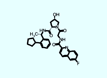 C[C@H](NC(=O)[C@@H]1C[C@@H](O)CN1C(=O)CNC(=O)c1ccc2cc(F)ccc2n1)c1ccccc1C1CCCC1